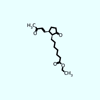 CCOC(=O)CCCCCC[C@@H]1C(=O)CC[C@@H]1/C=C/C(C)=O